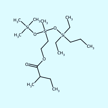 CCC[Si](CC)(CC)O[Si](C)(CCOC(=O)C(C)CC)O[Si](C)(C)C